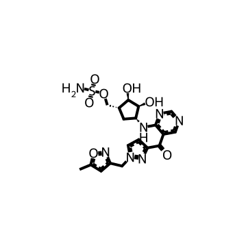 Cc1cc(Cn2ccc(C(=O)c3cncnc3N[C@@H]3C[C@H](COS(N)(=O)=O)[C@@H](O)[C@H]3O)n2)no1